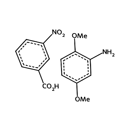 COc1ccc(OC)c(N)c1.O=C(O)c1cccc([N+](=O)[O-])c1